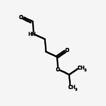 CC(C)OC(=O)CCNC=O